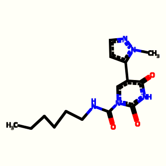 CCCCCCNC(=O)n1cc(-c2ccnn2C)c(=O)[nH]c1=O